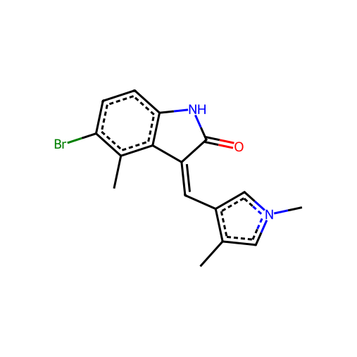 Cc1cn(C)cc1C=C1C(=O)Nc2ccc(Br)c(C)c21